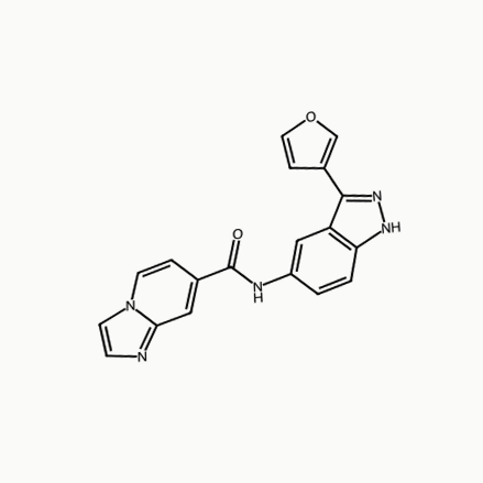 O=C(Nc1ccc2[nH]nc(-c3ccoc3)c2c1)c1ccn2ccnc2c1